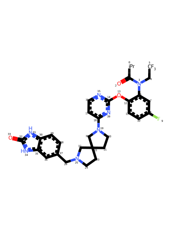 CC(C)C(=O)N(CC(F)(F)F)c1cc(F)ccc1Oc1nccc(N2CCC3(CCN(Cc4ccc5[nH]c(=O)[nH]c5c4)C3)C2)n1